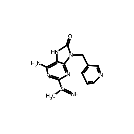 CS(=N)c1nc(N)c2[nH]c(=O)n(Cc3cccnc3)c2n1